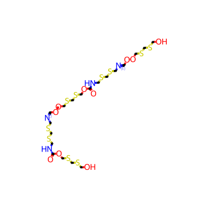 O=C(NCSCSC/N=C\OOCSCSCOC(=O)NCSCSC/N=C/OOCSCSCO)OCSCSCO